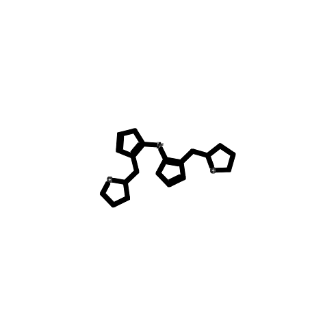 C1=CC(CC2CCCO2)=[C]([Zr][C]2=C(CC3CCCO3)C=CC2)C1